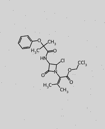 CC(C)=C(C(=O)OCC(Cl)(Cl)Cl)N1C(=O)C(NC(=O)C(C)(C)Oc2ccccc2)C1Cl